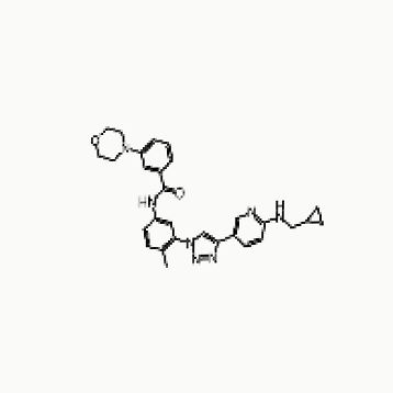 Cc1ccc(NC(=O)c2cccc(N3CCOCC3)c2)cc1-n1cc(-c2ccc(NCC3CC3)nc2)nn1